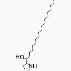 CCCCCCCCCCCCCCCCCCC(O)C1CCCN1